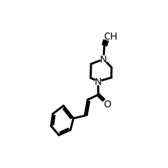 C#CN1CCN(C(=O)C=Cc2ccccc2)CC1